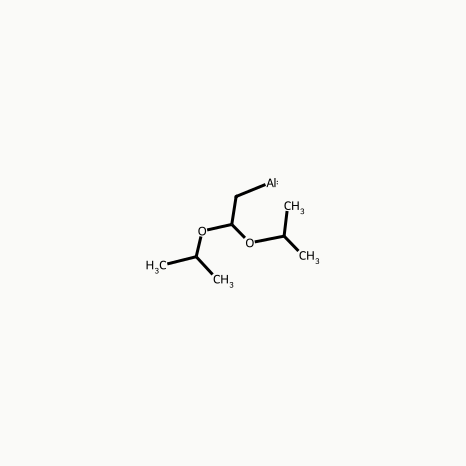 CC(C)OC([CH2][Al])OC(C)C